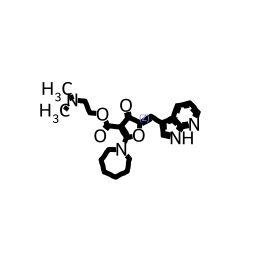 CN(C)CCOC(=O)C1=C(N2CCCCCC2)O/C(=C\c2c[nH]c3ncccc23)C1=O